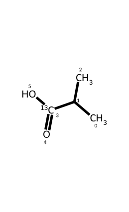 CC(C)[13C](=O)O